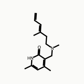 C=C/C=C(\C)CCN(C)Cc1c(C)cc(C)[nH]c1=O